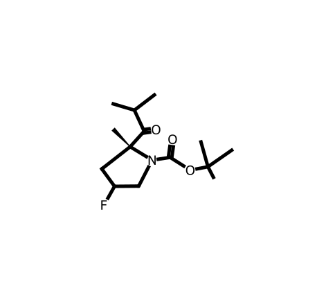 CC(C)C(=O)[C@@]1(C)CC(F)CN1C(=O)OC(C)(C)C